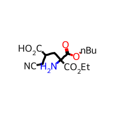 CCCCOC(=O)C(N)(CC(CC#N)C(=O)O)C(=O)OCC